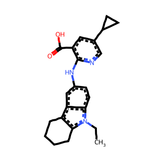 CCn1c2c(c3cc(Nc4ncc(C5CC5)cc4C(=O)O)ccc31)CCCC2